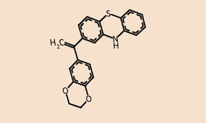 C=C(c1ccc2c(c1)Nc1ccccc1S2)c1ccc2c(c1)OCCO2